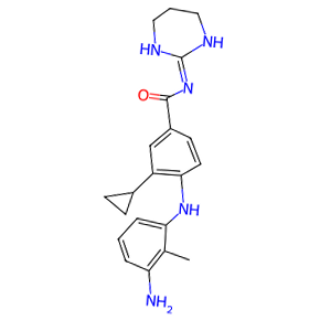 Cc1c(N)cccc1Nc1ccc(C(=O)N=C2NCCCN2)cc1C1CC1